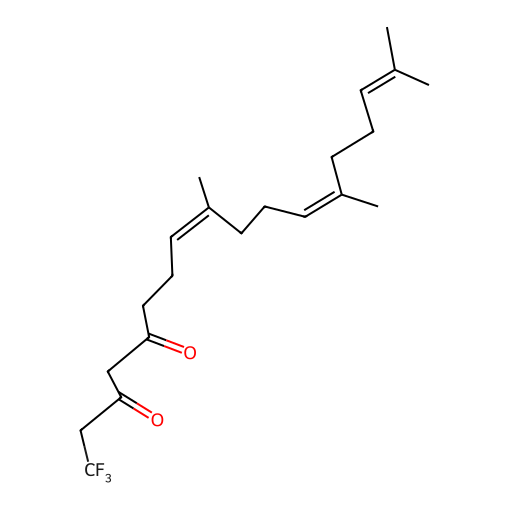 CC(C)=CCCC(C)=CCCC(C)=CCCC(=O)CC(=O)CC(F)(F)F